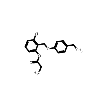 CCC(=O)Oc1cccc(Cl)c1COc1ccc(CC)cc1